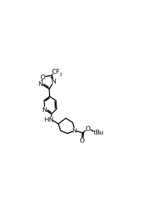 CC(C)(C)OC(=O)N1CCC(Nc2ccc(-c3noc(C(F)(F)F)n3)cn2)CC1